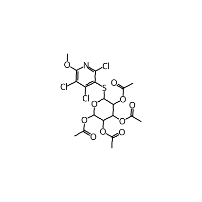 COc1nc(Cl)c(SC2OC(OC(C)=O)C(OC(C)=O)C(OC(C)=O)C2OC(C)=O)c(Cl)c1Cl